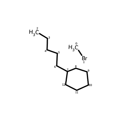 CBr.CCCCCC1CCCCC1